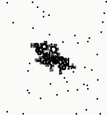 C=CCNC(=O)C(=O)C(CC=C)NC(=O)[C@H](CC1CCCCC1)NC(=O)[C@@H](NC(=O)[C@H](CC(C)C)NC(=O)c1ccccc1C(=O)O)[C@H](C)CC